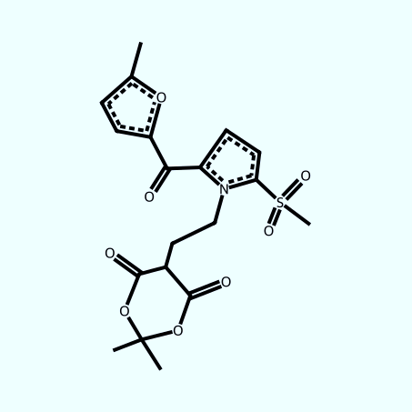 Cc1ccc(C(=O)c2ccc(S(C)(=O)=O)n2CCC2C(=O)OC(C)(C)OC2=O)o1